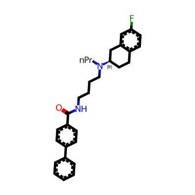 CCCN(CCCCNC(=O)c1ccc(-c2ccccc2)cc1)[C@@H]1CCc2ccc(F)cc2C1